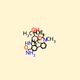 C=CC(=O)N(C)c1cccc(-c2ccc(C(N)=O)c3[nH]c4c(c23)CCC(C(C)(C)O)C4)c1C